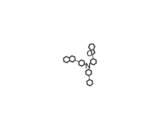 c1ccc(-c2ccc(N(c3ccc(-c4ccc5ccccc5c4)cc3)c3cccc(-c4cc5ccccc5o4)c3)cc2)cc1